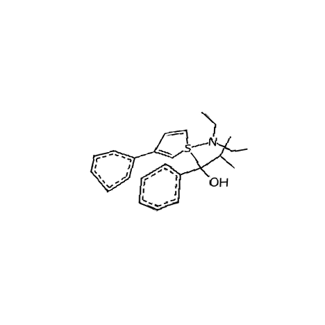 CCN(CC)S1(C(O)(c2ccccc2)C(C)C)C=CC(c2ccccc2)=C1